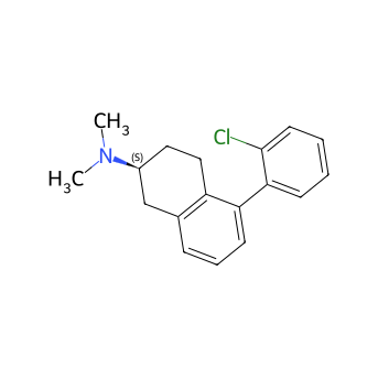 CN(C)[C@H]1CCc2c(cccc2-c2ccccc2Cl)C1